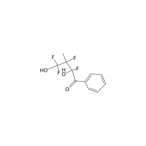 CC(F)(C(O)(F)F)C(O)(F)C(=O)c1ccccc1